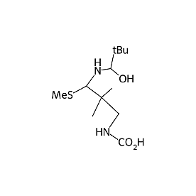 CSC(NC(O)C(C)(C)C)C(C)(C)CNC(=O)O